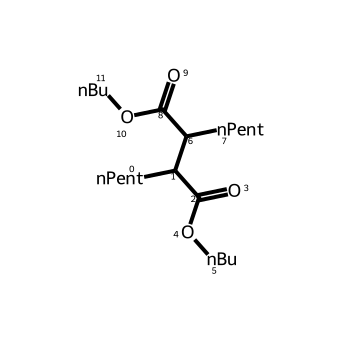 CCCCCC(C(=O)OCCCC)C(CCCCC)C(=O)OCCCC